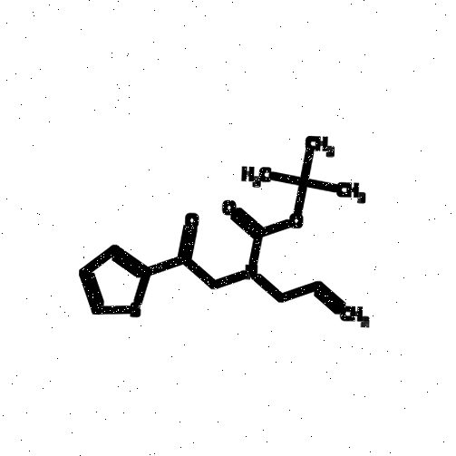 C=CCN(CC(=O)c1cccs1)C(=O)OC(C)(C)C